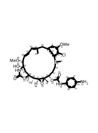 COc1cc2cc(c1Cl)N(C)CC[C@H](OC(=O)Nc1ccc(N)cc1)[C@]1(C)O[C@H]1[C@H](C)[C@@H]1C[C@@](O)(NC(=O)O1)[C@H](OC)/C=C/C=C(\C)C2